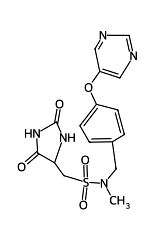 CN(Cc1ccc(Oc2cncnc2)cc1)S(=O)(=O)CC1NC(=O)NC1=O